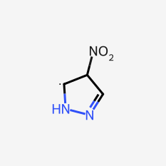 O=[N+]([O-])C1[CH]NN=C1